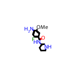 COc1cc(C(=O)N[C@@H]2CCCNC2)c(F)cc1N